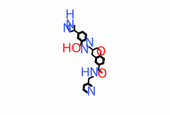 O=C(NCCc1cccnc1)c1ccc2c(c1)CC(c1nc(O)c3cc(C4C=NNC4)ccc3n1)CO2